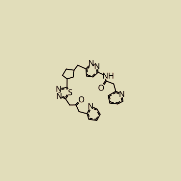 O=C(Cc1ccccn1)Cc1nnc(C2CCC(Cc3ccc(NC(=O)Cc4ccccn4)nn3)C2)s1